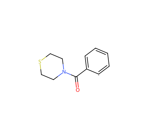 O=C(c1[c]cccc1)N1CCSCC1